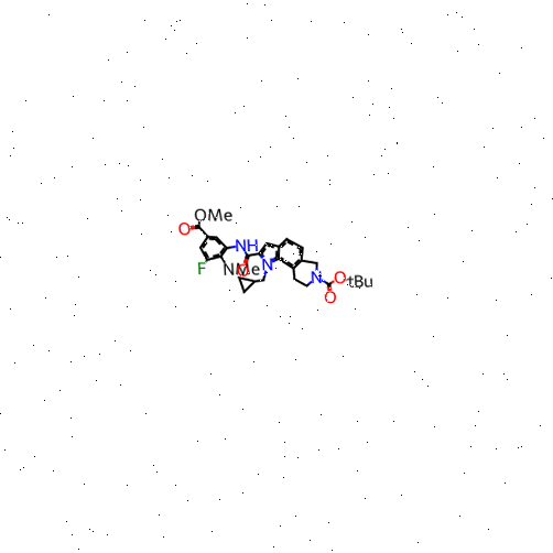 CNc1c(F)cc(C(=O)OC)cc1NC(=O)c1cc2ccc3c(c2n1CC1CC1)CCN(C(=O)OC(C)(C)C)C3